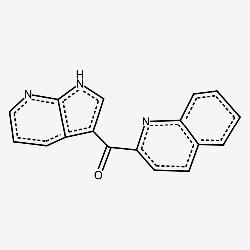 O=C(c1ccc2ccccc2n1)c1c[nH]c2ncccc12